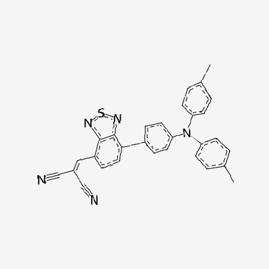 Cc1ccc(N(c2ccc(C)cc2)c2ccc(-c3ccc(C=C(C#N)C#N)c4nsnc34)cc2)cc1